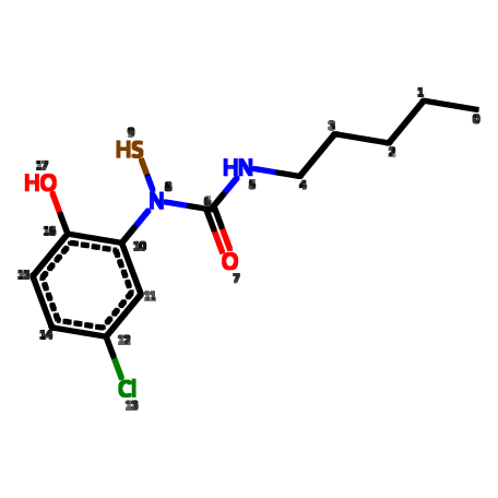 CCCCCNC(=O)N(S)c1cc(Cl)ccc1O